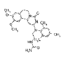 COc1cc2c(cc1OC)-c1cc(N(CCNC(N)=O)c3c(C)cc(C)cc3C)nc(=O)n1CC2